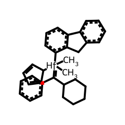 [CH3][Hf]([CH3])(=[C](c1ccccc1)C1CCCCC1)([c]1cccc2c1Cc1ccccc1-2)[CH]1C=CC=C1